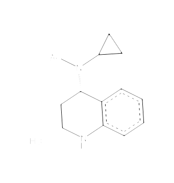 CC(=O)N(C1CC1)[C@H]1C[C@@H](C)Nc2ccccc21